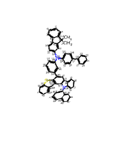 CC1(C)c2ccccc2-c2ccc(N(c3ccc(-c4ccccc4)cc3)c3cccc(-c4cc5c6ccccc6n(-c6cccc7ccccc67)c5c5c4sc4ccccc45)c3)cc21